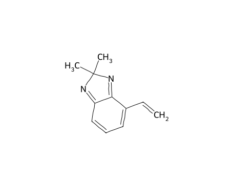 C=Cc1cccc2c1=NC(C)(C)N=2